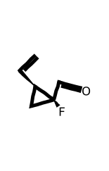 C=C[C@@H]1C[C@@]1(F)C=O